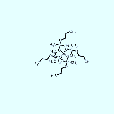 CCCO[Si](C)(C)O[Si](O[Si](C)(C)OCCC)(O[Si](C)(C)OCCC)O[Si](C)(C)OCCC